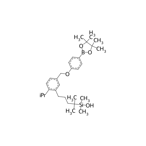 CC(C)c1ccc(COc2ccc(B3OC(C)(C)C(C)(C)O3)cc2)cc1CCCC(C)(C)[Si](C)(C)O